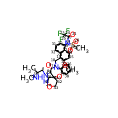 CN[C@@H](C)CN[C@@H]1C(=O)N(Cc2c(OC)ccc3c(N(C(=O)C(F)(F)F)S(C)(=O)=O)cccc23)c2ccccc2OC12CCOCC2